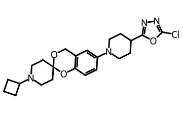 Clc1nnc(C2CCN(c3ccc4c(c3)COC3(CCN(C5CCC5)CC3)O4)CC2)o1